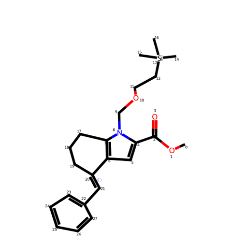 COC(=O)c1cc2c(n1COCC[Si](C)(C)C)CCC/C2=C\c1ccccc1